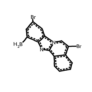 Bc1cc(Br)cc2c1nc1c3ccccc3c(Br)cn21